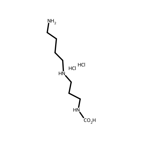 Cl.Cl.NCCCCNCCCNC(=O)O